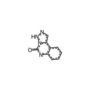 O=c1nc2ccccc2c2cn[nH]n12